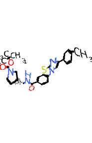 Cc1ccc(-c2cn3c(n2)sc2cc(C(=O)NC[C@@H]4CCN(C(=O)OC(C)(C)C)C4)ccc23)cc1